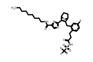 CCCCCCCCCNC(=O)c1coc(C2C3CCC(O3)C2Cc2cc(F)ccc2CCC(=O)NS(=O)(=O)C(F)(F)F)n1